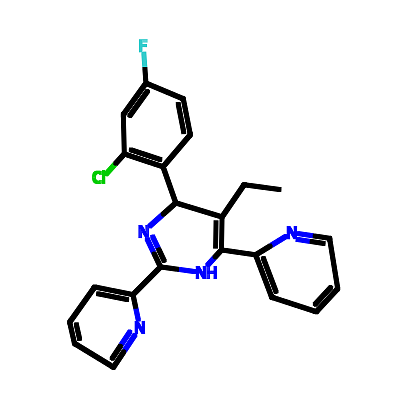 CCC1=C(c2ccccn2)NC(c2ccccn2)=NC1c1ccc(F)cc1Cl